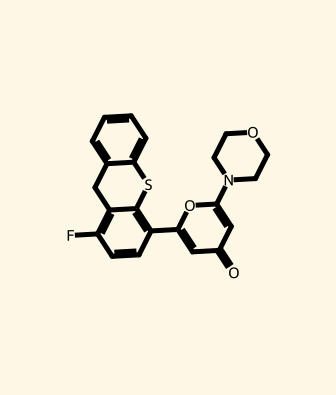 O=c1cc(-c2ccc(F)c3c2Sc2ccccc2C3)oc(N2CCOCC2)c1